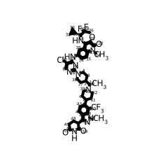 C[C@@H](C1CCN(c2ncc(Cl)c(Nc3ccc4c(c3)c3c(c(=O)n4C)OCC(F)(F)[C@H](C4CC4)N3)n2)CC1)N1CCC(c2ccc3c(C4CCC(=O)NC4=O)nn(C)c3c2C(F)(F)F)CC1